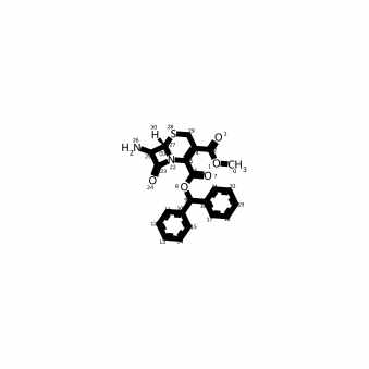 COC(=O)C1=C(C(=O)OC(c2ccccc2)c2ccccc2)N2C(=O)C(N)[C@@H]2SC1